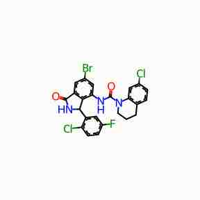 O=C1NC(c2cc(F)ccc2Cl)c2c(NC(=O)N3CCCc4ccc(Cl)cc43)cc(Br)cc21